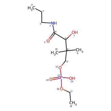 CCCNC(=O)C(O)C(C)(C)COP(=O)(O)OCC